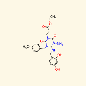 CCOC(=O)CCN1C(=O)N(N)C(NCc2ccc(O)cc2O)N(Cc2ccc(C)cc2)C1=O